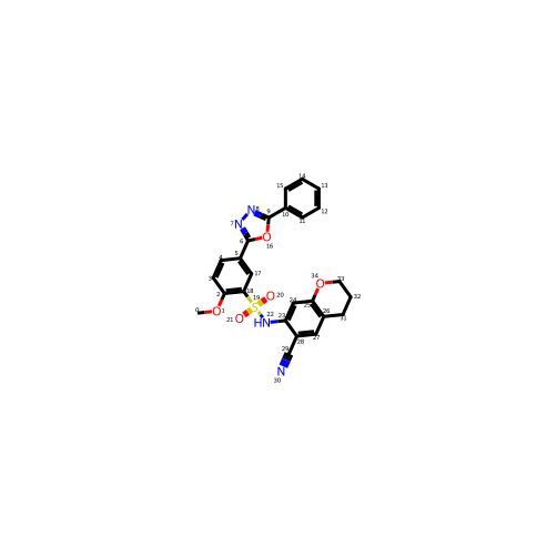 COc1ccc(-c2nnc(-c3ccccc3)o2)cc1S(=O)(=O)Nc1cc2c(cc1C#N)CCCO2